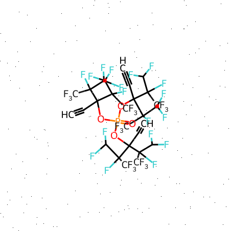 C#CC(OP(=O)(OC(C#C)(C(F)(C(F)F)C(F)(F)F)C(F)(C(F)F)C(F)(F)F)OC(C#C)(C(F)(C(F)F)C(F)(F)F)C(F)(C(F)F)C(F)(F)F)(C(F)(C(F)F)C(F)(F)F)C(F)(C(F)F)C(F)(F)F